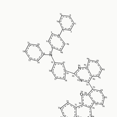 c1ccc(-c2ccc(N(c3ccccc3)c3cccc(-c4nc(-c5cccc6c5oc5c7ccccc7ccc65)c5ccccc5n4)c3)cc2)cc1